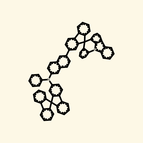 c1ccc(N(c2ccc3c(c2)C2(c4ccccc4-c4ccccc42)c2ccccc2-3)c2ccc3cc(-c4ccc5c(c4)C4(c6ccccc6-5)c5ccccc5-n5c6ccccc6c6cccc4c65)ccc3c2)cc1